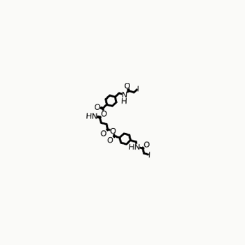 N=C(CCC(=O)OC(=O)C1CCC(CNC(=O)CI)CC1)OC(=O)C1CCC(CNC(=O)CI)CC1